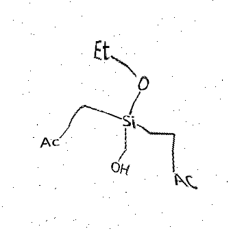 CCO[Si](O)(CC(C)=O)CC(C)=O